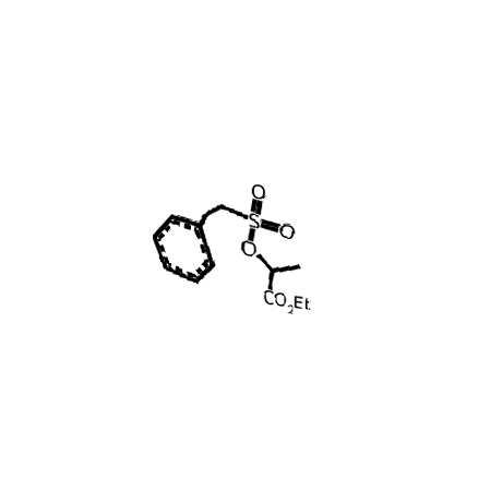 CCOC(=O)C(C)OS(=O)(=O)Cc1ccccc1